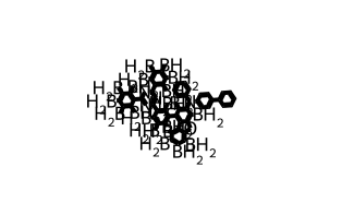 Bc1c(B)c(B)c(-c2nc(-c3c(B)c(B)c(B)c(B)c3B)nc(-c3c(B)c(B)c(B)c(-c4c(B)c(N(c5ccccc5)c5ccc(-c6ccccc6)cc5)c(B)c5oc6c(B)c(B)c(B)c(B)c6c45)c3B)n2)c(B)c1B